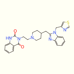 O=c1[nH]c2ccccc2c(=O)n1CCN1CCC(Cc2nc3ccccc3n2Cc2cscn2)CC1